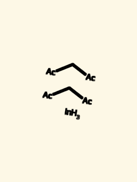 CC(=O)CC(C)=O.CC(=O)CC(C)=O.[InH3]